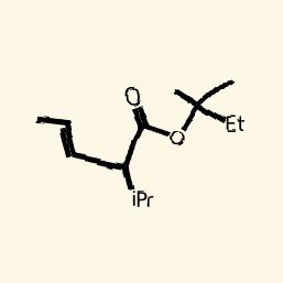 C/C=C/C(C(=O)OC(C)(C)CC)C(C)C